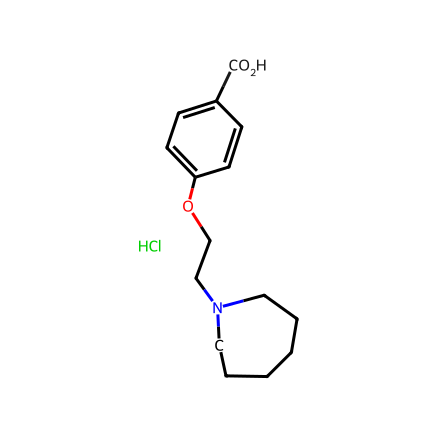 Cl.O=C(O)c1ccc(OCCN2CCCCCC2)cc1